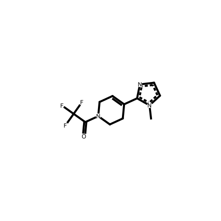 Cn1ccnc1C1=CCN(C(=O)C(F)(F)F)CC1